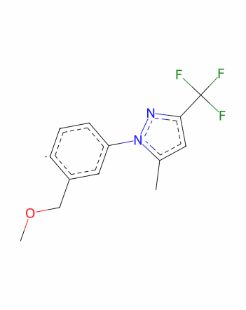 COCc1[c]ccc(-n2nc(C(F)(F)F)cc2C)c1